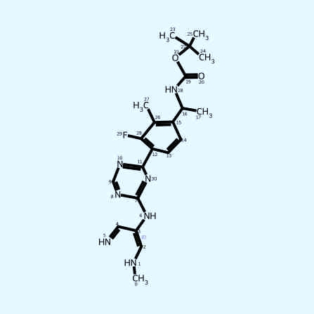 CN/C=C(\C=N)Nc1ncnc(-c2ccc(C(C)NC(=O)OC(C)(C)C)c(C)c2F)n1